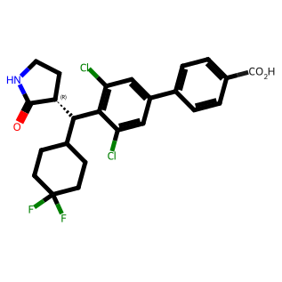 O=C(O)c1ccc(-c2cc(Cl)c(C(C3CCC(F)(F)CC3)[C@H]3CCNC3=O)c(Cl)c2)cc1